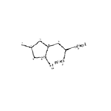 CCCCCCCC(CCCCCC)CC1CC(C)CN1CC